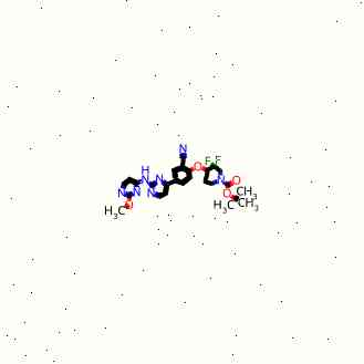 COc1nccc(Nc2nccc(-c3ccc(OC4CCN(C(=O)OC(C)(C)C)CC4(F)F)c(C#N)c3)n2)n1